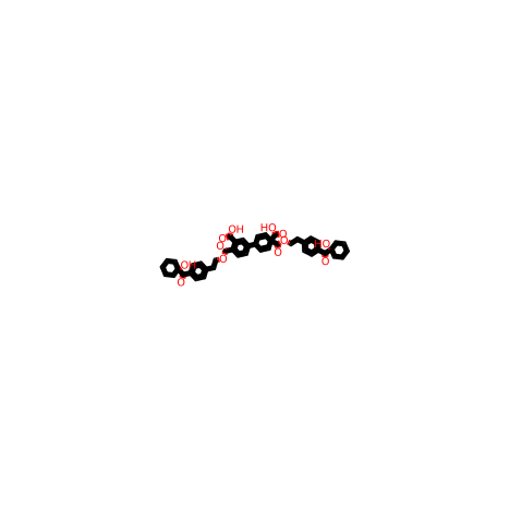 O=C(O)c1cc(C2C=CC(C(=O)O)(C(=O)OCCc3ccc(C(=O)C4(O)CCCCC4)cc3)C=C2)ccc1C(=O)OCCc1ccc(C(=O)C2(O)CCCCC2)cc1